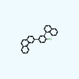 Clc1ccc(-c2ccc3ccc4ccccc4c3c2)cc1-c1cccc2ccccc12